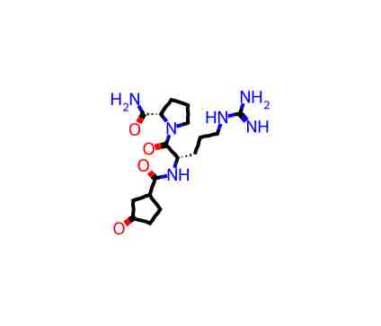 N=C(N)NCCC[C@H](NC(=O)C1CCC(=O)C1)C(=O)N1CCC[C@H]1C(N)=O